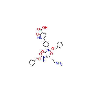 NCCCC[C@H](NC(=O)OCc1ccccc1)C(=O)N(C(=O)OCc1ccccc1)c1ccc(-c2ccc(C(=O)O)c(=O)[nH]2)cc1